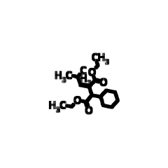 CCOC(=O)C(=CC(C)C)C(C(=O)OCC)C1CCCCC1